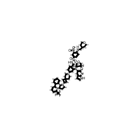 O=C(NS(=O)(=O)c1ccc(NCC2CCOCC2)c([N+](=O)[O-])c1)c1ccc(N2CCC3(CC2)CC(N2CCC[C@H]2c2ccccc2-c2cccc(C(F)(F)F)n2)C3)cc1N1c2cc3cc[nH]c3nc2O[C@@H]2COC[C@H]21